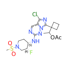 CC(=O)OC(C)C1(c2nc(Cl)c3cnc(N[C@H]4CCN(S(C)(=O)=O)C[C@H]4F)nn23)CCC1